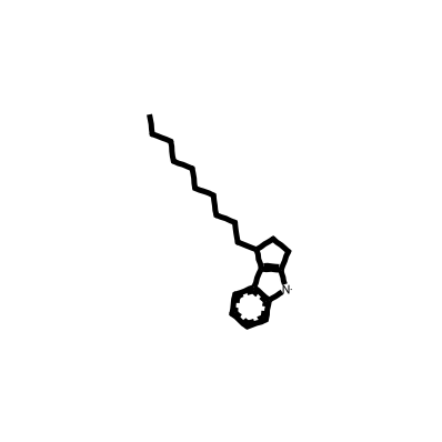 CCCCCCCCCCC1CCC2=C1c1ccccc1[N]2